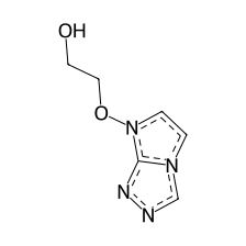 OCCOn1ccn2cnnc12